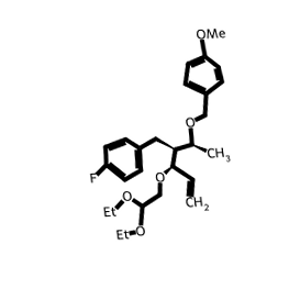 C=C[C@@H](OCC(OCC)OCC)[C@@H](Cc1ccc(F)cc1)[C@H](C)OCc1ccc(OC)cc1